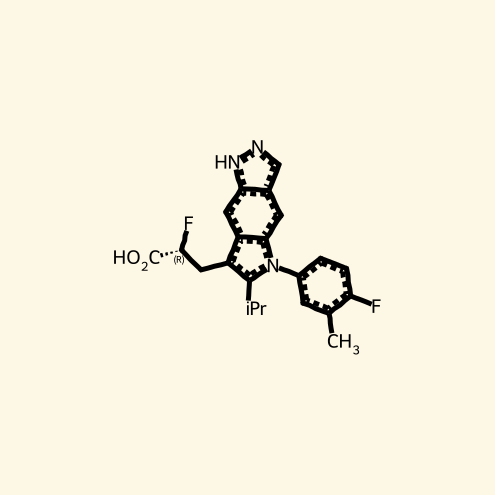 Cc1cc(-n2c(C(C)C)c(C[C@@H](F)C(=O)O)c3cc4[nH]ncc4cc32)ccc1F